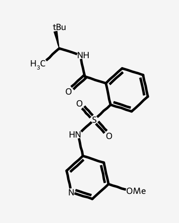 COc1cncc(NS(=O)(=O)c2ccccc2C(=O)N[C@@H](C)C(C)(C)C)c1